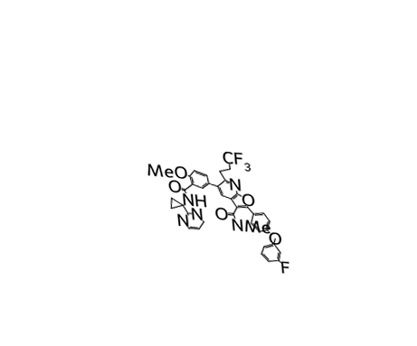 CNC(=O)c1c(-c2ccc(Oc3cccc(F)c3)cc2)oc2nc(CCC(F)(F)F)c(-c3ccc(OC)c(C(=O)NC4(c5ncccn5)CC4)c3)cc12